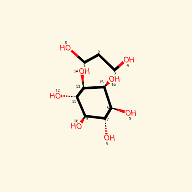 OCCCO.O[C@H]1[C@H](O)[C@@H](O)[C@H](O)[C@@H](O)[C@H]1O